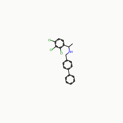 CC(NCc1ccc(-c2ccccc2)cc1)c1ccc(Cl)c(Cl)c1Cl